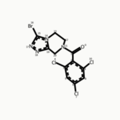 O=C(c1c(Cl)cc(Cl)cc1Cl)N1CCn2c(Br)nnc2C1